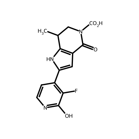 CC1CN(C(=O)O)C(=O)c2cc(-c3ccnc(O)c3F)[nH]c21